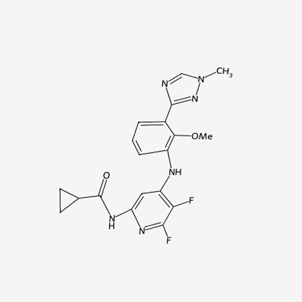 COc1c(Nc2cc(NC(=O)C3CC3)nc(F)c2F)cccc1-c1ncn(C)n1